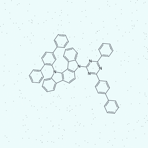 c1ccc(-c2ccc(-c3nc(-c4ccccc4)nc(-n4c5ccccc5c5c4ccc4c6ccccc6n(-c6cc(-c7ccccc7)ccc6-c6ccccc6)c45)n3)cc2)cc1